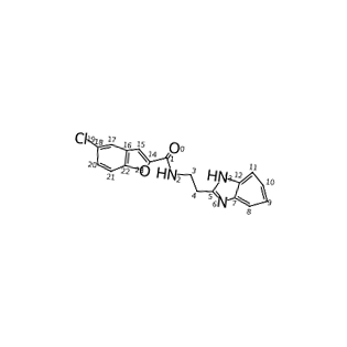 O=C(NCCc1nc2ccccc2[nH]1)c1cc2cc(Cl)ccc2o1